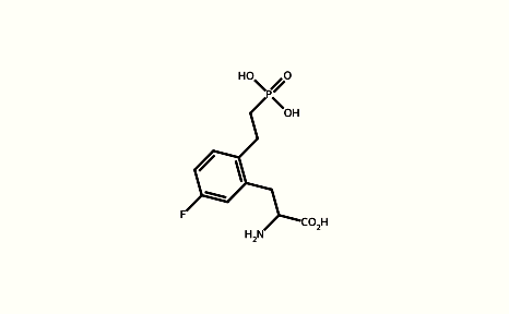 NC(Cc1cc(F)ccc1CCP(=O)(O)O)C(=O)O